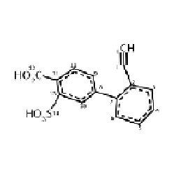 C#Cc1ccccc1-c1ccc(C(=O)O)c(S(=O)(=O)O)c1